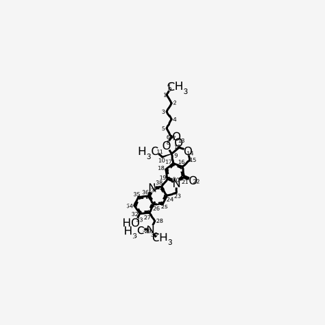 CCCCCCC(=O)O[C@]1(CC)C(=O)OCc2c1cc1n(c2=O)Cc2cc3c(CN(C)C)c(O)ccc3nc2-1